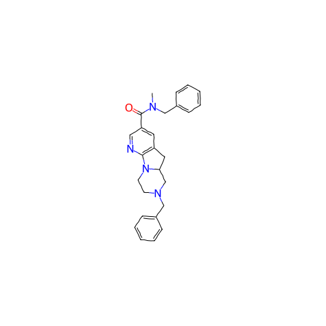 CN(Cc1ccccc1)C(=O)c1cnc2c(c1)CC1CN(Cc3ccccc3)CCN21